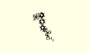 CCOC(=O)N1CC2(CCC(N3CCN(c4cccnc4OC(F)(F)F)CC3)C2)C1